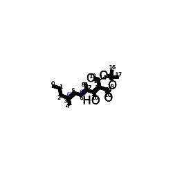 CCC/C(C)=C/C=C(\C)C(O)=C1C(=O)OC(C)(C)OC1=O